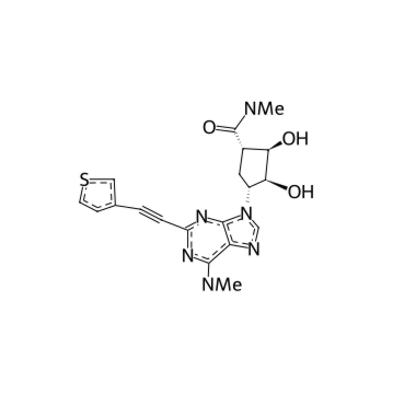 CNC(=O)[C@H]1C[C@@H](n2cnc3c(NC)nc(C#Cc4ccsc4)nc32)[C@H](O)[C@@H]1O